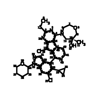 CSc1nc(N2CCOC[C@@](C)(O)C2)c2c(n1)c(Cl)c1c(-c3c(C4CC4)c(Cl)cc4c3cnn4C3CCCCO3)nccn12